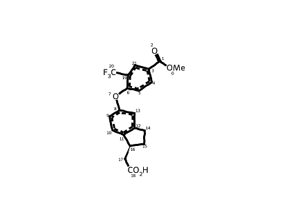 COC(=O)c1ccc(Oc2ccc3c(c2)CC[C@H]3CC(=O)O)c(C(F)(F)F)c1